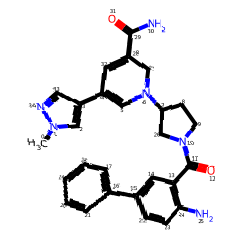 Cn1cc(C2=CN(C3CCN(C(=O)c4cc(-c5ccccc5)ccc4N)C3)CC(C(N)=O)=C2)cn1